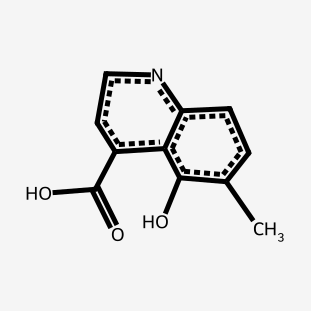 Cc1ccc2nccc(C(=O)O)c2c1O